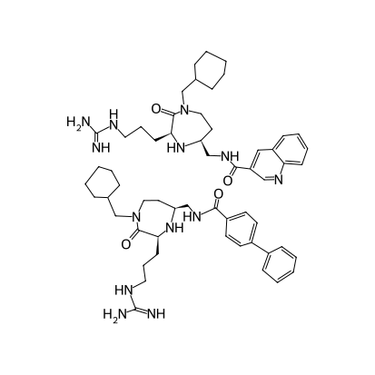 N=C(N)NCCC[C@@H]1N[C@H](CNC(=O)c2ccc(-c3ccccc3)cc2)CCN(CC2CCCCC2)C1=O.N=C(N)NCCC[C@@H]1N[C@H](CNC(=O)c2cnc3ccccc3c2)CCN(CC2CCCCC2)C1=O